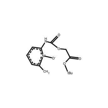 Cc1cccc(NC(=O)OCC(=O)OC(C)(C)C)[n+]1[O-]